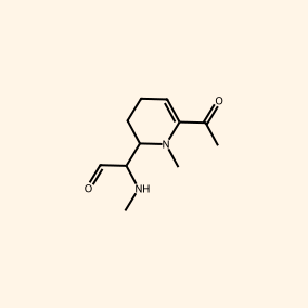 CNC(C=O)C1CCC=C(C(C)=O)N1C